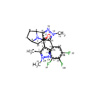 Cc1c(C(=O)N2C3CCC2c2nn(C)c(-c4cc(F)c(F)c(F)c4)c2C3)cnn1C